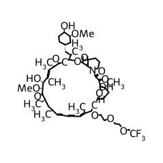 CO[C@@H]1C[C@H](C[C@@H](C)[C@@H]2CC(=O)[C@H](C)/C=C(\C)[C@@H](O)[C@@H](OC)C(=O)[C@H](C)C[C@H](C)/C=C/C=C/C=C(\C)[C@H](OCCOCCOCC(F)(F)F)C[C@@H]3CC[C@@H](C)[C@@](O)(O3)C(=O)C(=O)N3CCCC[C@H]3C(=O)O2)CC[C@H]1O